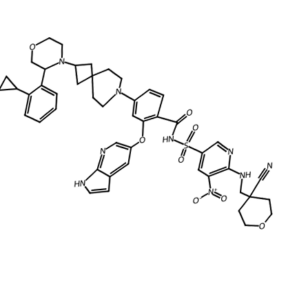 N#CC1(CNc2ncc(S(=O)(=O)NC(=O)c3ccc(N4CCC5(CC4)CC(N4CCOCC4c4ccccc4C4CC4)C5)cc3Oc3cnc4[nH]ccc4c3)cc2[N+](=O)[O-])CCOCC1